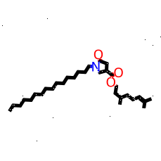 CCCCCCCCCCCCCCCCN1CC(C(=O)OCCC(C)CCC=C(C)C)CC1=O